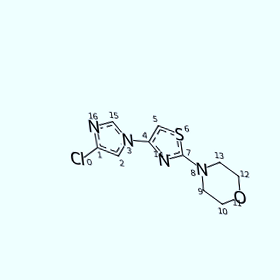 Clc1cn(-c2csc(N3CCOCC3)n2)cn1